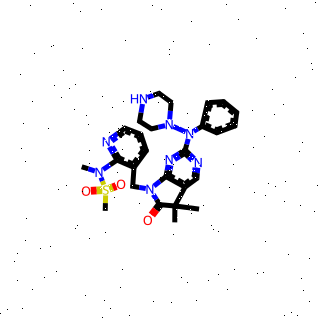 CN(c1ncccc1CN1C(=O)C(C)(C)c2cnc(N(c3ccccc3)N3CCNCC3)nc21)S(C)(=O)=O